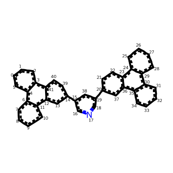 c1ccc2c(c1)c1ccccc1c1cc(-c3cncc(-c4ccc5c6ccccc6c6ccccc6c5c4)c3)ccc21